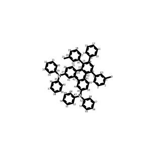 Cc1cccc(-c2cc(-c3ccccc3)c(-c3cccc(C)c3)c3c4ccc(N(c5ccccc5)c5ccccc5)cc4c4cc(N(c5ccccc5)c5ccccc5)ccc4c23)c1